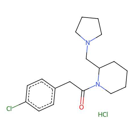 Cl.O=C(Cc1ccc(Cl)cc1)N1CCCCC1CN1CCCC1